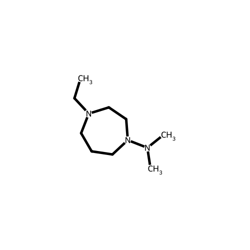 CCN1CCCN(N(C)C)CC1